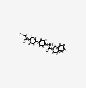 CC(C)CC(=O)N1CC=C(c2ccc(NC(=O)N3CCc4ccccc4C3)cc2)CC1